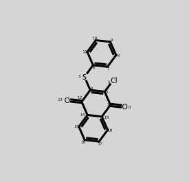 O=C1C(Cl)=C(Sc2ccccc2)C(=O)c2ccccc21